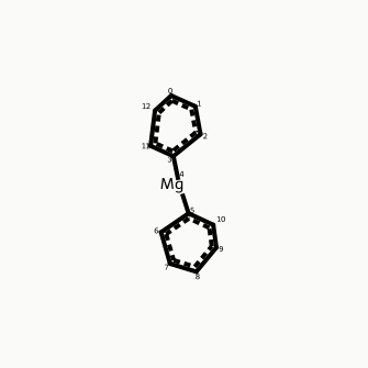 c1cc[c]([Mg][c]2ccccc2)cc1